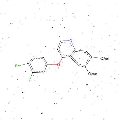 COc1cc2nccc(Oc3ccc(Br)c(F)c3)c2cc1OC